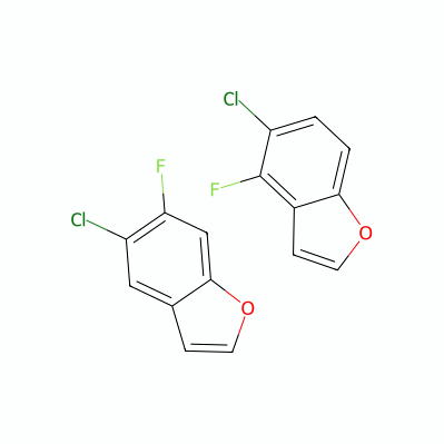 Fc1c(Cl)ccc2occc12.Fc1cc2occc2cc1Cl